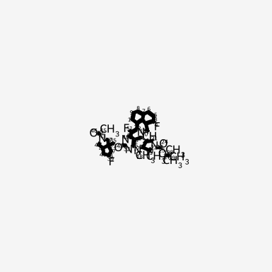 C#Cc1c(F)ccc2cccc(-c3ncc4c(N(C)[C@@H]5CCN(C(=O)OC(C)(C)C)[C@@H]5C)nc(OCC56CC(F)CC5CN(C(C)=O)C6)nc4c3F)c12